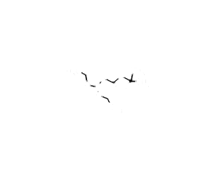 CCOP(OCC)SCSC(C)(C)C